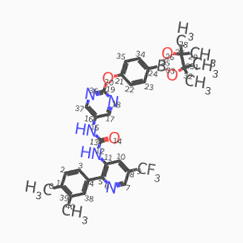 Cc1ccc(-c2ncc(C(F)(F)F)cc2NC(=O)Nc2cnc(Oc3ccc(B4OC(C)(C)C(C)(C)O4)cc3)nc2)cc1C